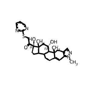 Cn1ncc2c1C=C1CCC3C([C@@H](O)CC4(C)C3CC[C@]4(O)C(=O)CSc3ncccn3)C1(C)C2